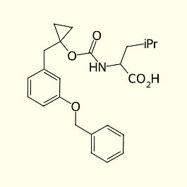 CC(C)CC(NC(=O)OC1(Cc2cccc(OCc3ccccc3)c2)CC1)C(=O)O